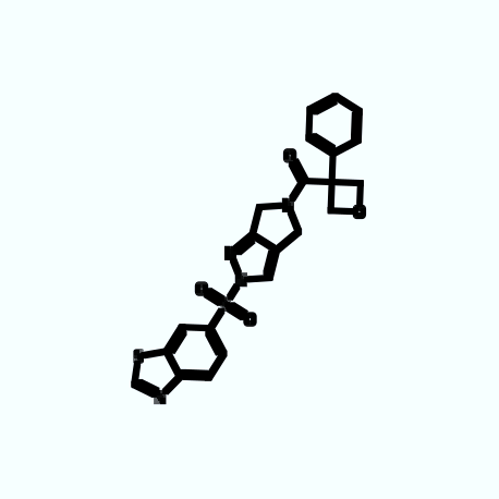 O=C(N1Cc2cn(S(=O)(=O)c3ccc4ncsc4c3)nc2C1)C1(c2ccccc2)COC1